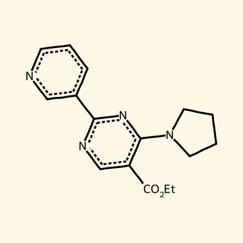 CCOC(=O)c1cnc(-c2cccnc2)nc1N1CCCC1